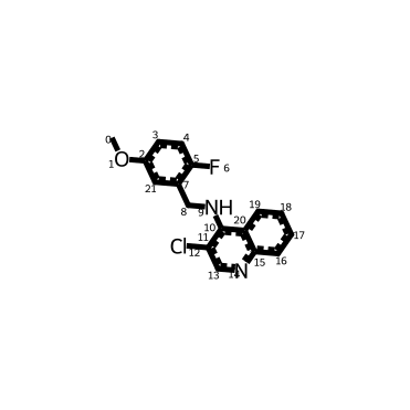 COc1ccc(F)c(CNc2c(Cl)cnc3ccccc23)c1